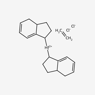 C1=CCC2CC[CH]([Hf+2][CH]3CCC4CC=CC=C43)C2=C1.C=C.[Cl-].[Cl-]